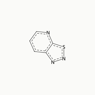 c1cnc2snnc2c1